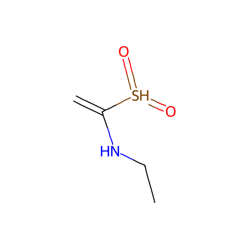 C=C(NCC)[SH](=O)=O